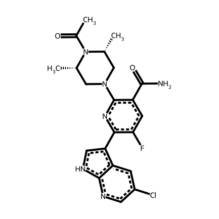 CC(=O)N1[C@H](C)CN(c2nc(-c3c[nH]c4ncc(Cl)cc34)c(F)cc2C(N)=O)C[C@@H]1C